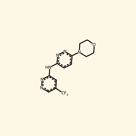 FC(F)(F)c1cnnc(Nc2ccc(N3CCOCC3)nn2)c1